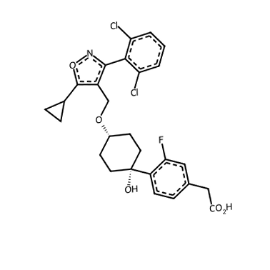 O=C(O)Cc1ccc([C@]2(O)CC[C@@H](OCc3c(-c4c(Cl)cccc4Cl)noc3C3CC3)CC2)c(F)c1